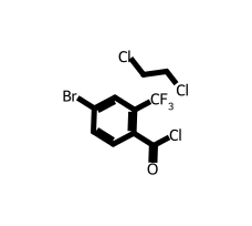 ClCCCl.O=C(Cl)c1ccc(Br)cc1C(F)(F)F